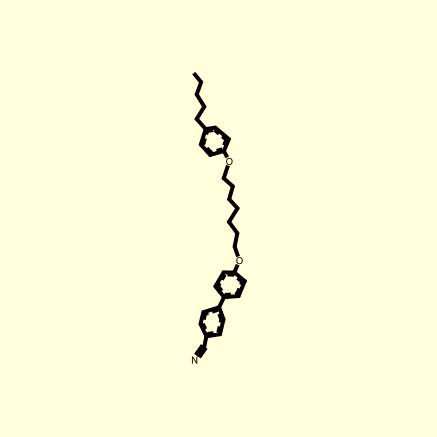 CCCCCc1ccc(OCCCCCCCOc2ccc(-c3ccc(C#N)cc3)cc2)cc1